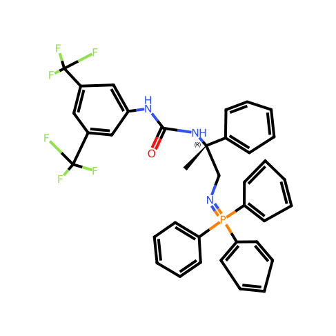 C[C@@](CN=P(c1ccccc1)(c1ccccc1)c1ccccc1)(NC(=O)Nc1cc(C(F)(F)F)cc(C(F)(F)F)c1)c1ccccc1